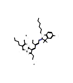 CCCCCCN1/C(=C/C=C(/C=c2/c(CCOC)nn3c(=O)c(CCCC)c(COC)nc23)CC)C(C)(C)c2cc(Cl)ccc21